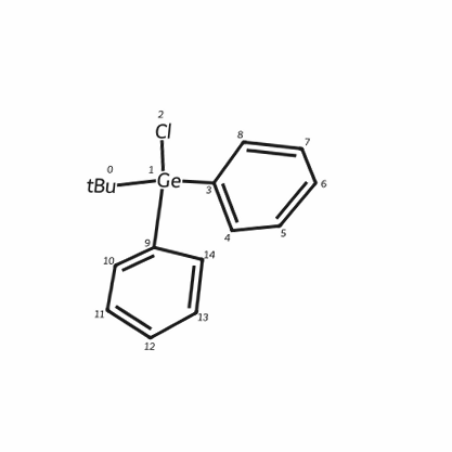 C[C](C)(C)[Ge]([Cl])([c]1ccccc1)[c]1ccccc1